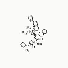 Cc1ccccc1CN1CCN([C@H](C(=O)N[C@@H](Cc2ccccc2)[C@@H](O)C[C@H](Cc2ccc(-c3ccccn3)cc2)NC(=O)[C@@H](N(C)C(=O)O)C(C)(C)C)C(C)(C)C)C1=O